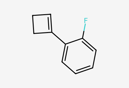 Fc1ccccc1C1=CCC1